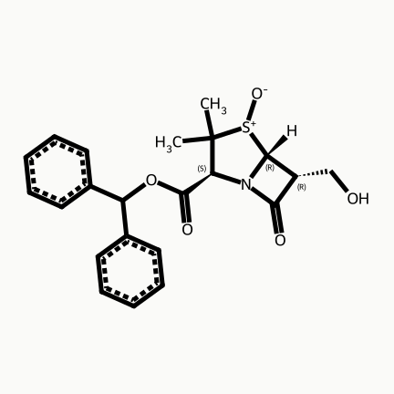 CC1(C)[C@H](C(=O)OC(c2ccccc2)c2ccccc2)N2C(=O)[C@@H](CO)[C@H]2[S+]1[O-]